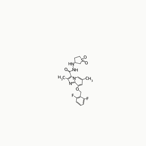 Cc1cc(OCc2c(F)cccc2F)c2nc(C)c(C(=O)NNC3CCS(=O)(=O)C3)n2c1